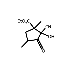 CCOC(=O)C1(C)CC(C)C(=O)C1(O)C#N